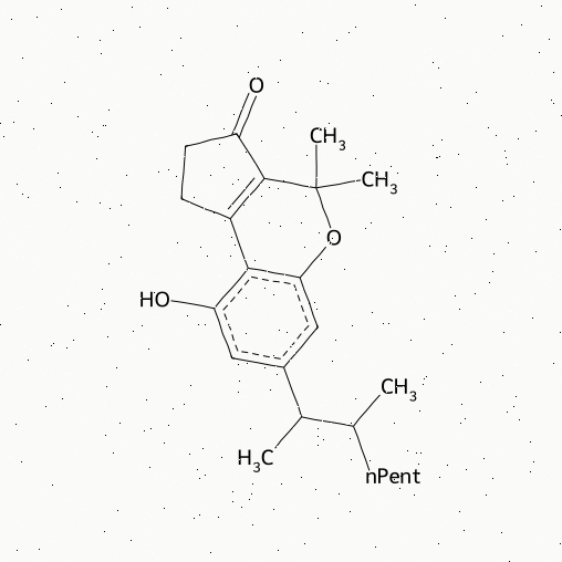 CCCCCC(C)C(C)c1cc(O)c2c(c1)OC(C)(C)C1=C2CCC1=O